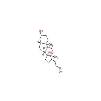 C[C@]12CC[C@H](O)C[C@H]1CC[C@@H]1[C@@H]2CC[C@]2(C)[C@@H](C/C=N/O)CC[C@]12O